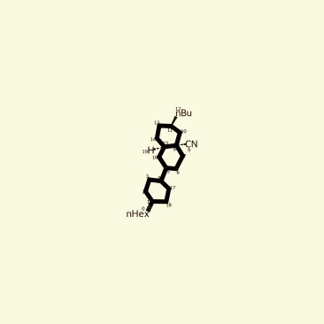 CCCCCCC1CCC(C2CC[C@]3(C#N)C[C@H](CCCC)CC[C@@H]3C2)CC1